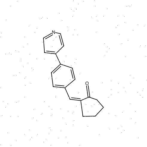 O=C1CCCCC1=Cc1ccc(-c2ccncc2)cc1